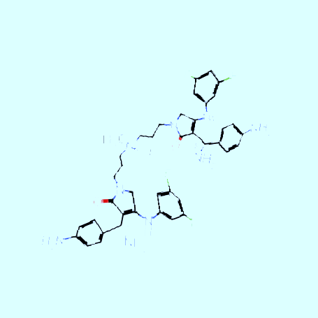 C[N+](C)(CCCN1CC(Nc2cc(F)cc(F)c2)=C([C@H](N)c2ccc(N)cc2)C1=O)CCCN1CC(Nc2cc(F)cc(F)c2)=C([C@H](N)c2ccc(N)cc2)C1=O